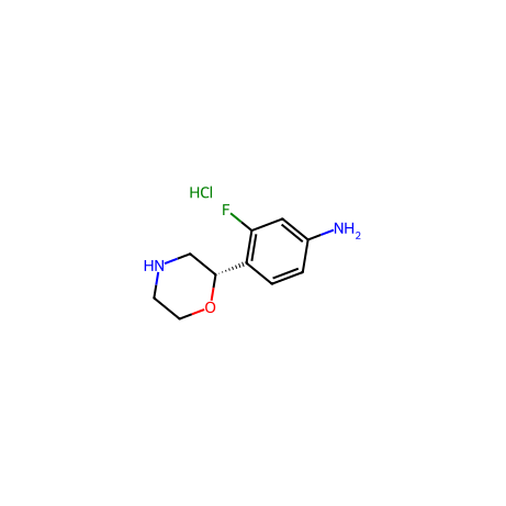 Cl.Nc1ccc([C@H]2CNCCO2)c(F)c1